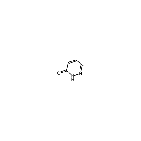 O=c1cc[c]n[nH]1